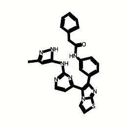 Cc1cc(Nc2nccc(-c3c(-c4cccc(NC(=O)Cc5ccccc5)c4)nc4sccn34)n2)[nH]n1